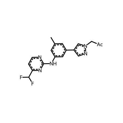 CC(=O)Cn1cc(-c2cc(C)cc(Nc3nccc(C(F)F)n3)c2)cn1